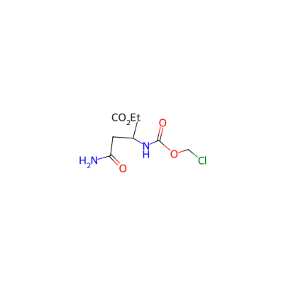 CCOC(=O)C(CC(N)=O)NC(=O)OCCl